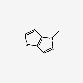 Cn1ncc2s[c]cc21